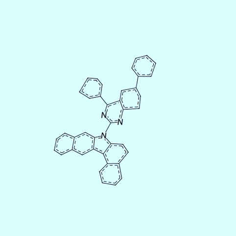 c1ccc(-c2ccc3nc(-n4c5cc6ccccc6cc5c5c6ccccc6ccc54)nc(-c4ccccc4)c3c2)cc1